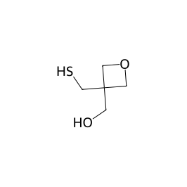 OCC1(CS)COC1